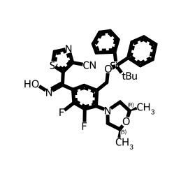 C[C@@H]1CN(c2c(CO[Si](c3ccccc3)(c3ccccc3)C(C)(C)C)cc(C(=NO)c3scnc3C#N)c(F)c2F)C[C@H](C)O1